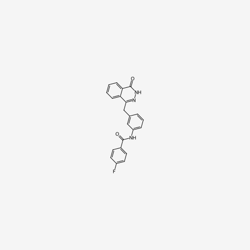 O=C(Nc1cccc(Cc2n[nH]c(=O)c3ccccc23)c1)c1ccc(F)cc1